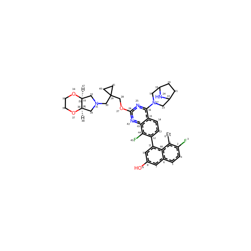 CCc1c(F)ccc2cc(O)cc(-c3ccc4c(N5CC6CCC(C5)N6)nc(OCC5(CN6C[C@@H]7OCCO[C@@H]7C6)CC5)nc4c3F)c12